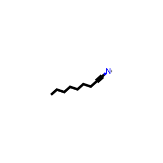 CCCCCCCC#C[N]